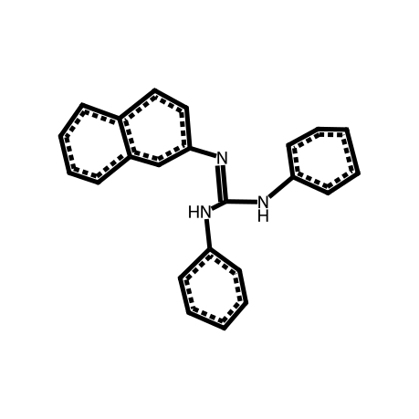 c1ccc(NC(=Nc2ccc3ccccc3c2)Nc2ccccc2)cc1